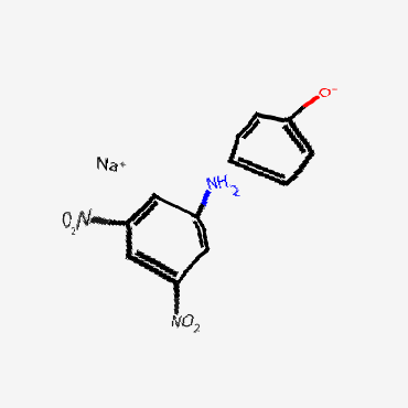 Nc1cc([N+](=O)[O-])cc([N+](=O)[O-])c1.[Na+].[O-]c1ccccc1